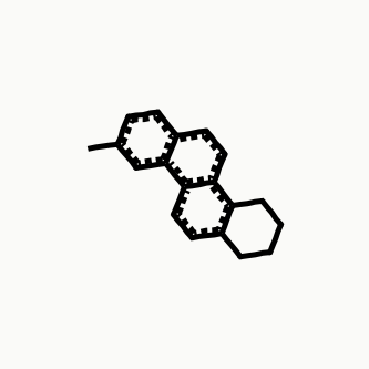 Cc1ccc2ccc3c4c(ccc3c2c1)CCCC4